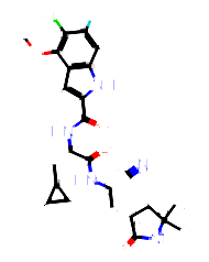 COc1c(Cl)c(F)cc2[nH]c(C(=O)N[C@@H](CC3CC3)C(=O)N[C@H](C#N)C[C@@H]3CC(C)(C)NC3=O)cc12